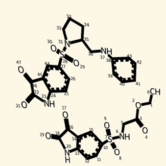 CCOC(=O)CNS(=O)(=O)c1ccc2c(c1)C(=O)C(=O)N2.O=C1Nc2ccc(S(=O)(=O)N3CCCC3CNc3ccccc3)cc2C1=O